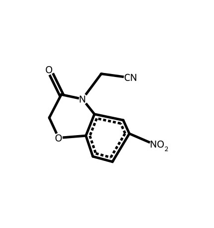 N#CCN1C(=O)COc2ccc([N+](=O)[O-])cc21